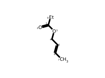 [CH2]CC(=O)OC/C=C/C